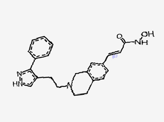 O=C(/C=C/c1ccc2c(c1)CN(CCc1c[nH]nc1-c1ccccc1)CC2)NO